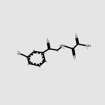 O=C(O)C(=O)NCC(=O)c1cccc(Cl)c1